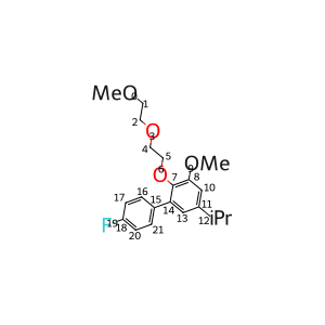 COCCOCCOc1c(OC)cc(C(C)C)cc1-c1ccc(F)cc1